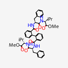 COC(=O)[C@@H](NC(=O)[C@H](Cc1ccccc1)NC(=O)c1ccccc1-c1ccccc1C(=O)N[C@@H](Cc1ccccc1)C(=O)N[C@H](C(=O)OC)C(C)C)C(C)C